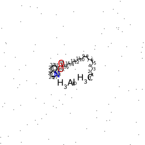 CCCCC/C=C\C/C=C\CCCCCCCC(=O)Oc1cccc2cccnc12.[AlH3]